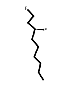 CCCCCC[C@H](F)CCF